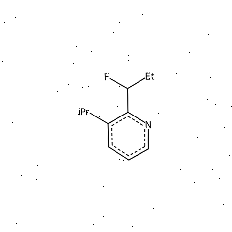 CCC(F)c1ncccc1C(C)C